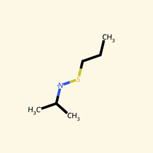 CCCS[N]C(C)C